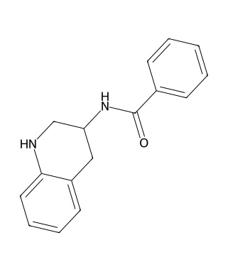 O=C(NC1CNc2ccccc2C1)c1ccccc1